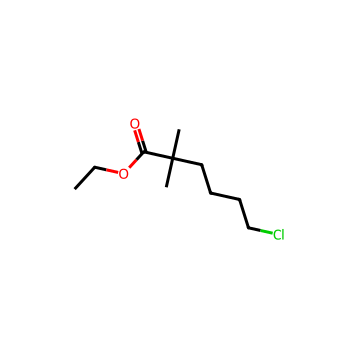 CCOC(=O)C(C)(C)CCCCCl